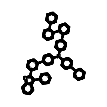 c1ccc(-c2ccc(N(c3ccc(-c4cccc(-c5oc6ccccc6c5-c5ccccc5)c4)cc3)c3ccc(-c4ccccc4-c4ccccc4-c4ccccc4)cc3)cc2)cc1